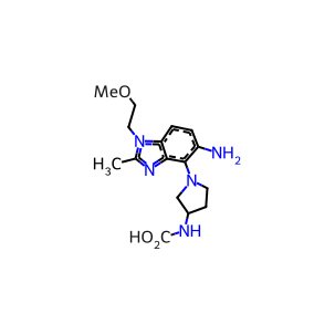 COCCn1c(C)nc2c(N3CCC(NC(=O)O)C3)c(N)ccc21